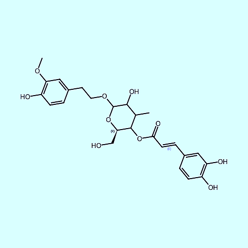 COc1cc(CCOC2O[C@H](CO)C(OC(=O)/C=C/c3ccc(O)c(O)c3)C(C)C2O)ccc1O